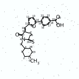 CC1CCC(CN2C(=O)/C(=C/c3ccc(-c4ccc(C(=O)O)cc4)o3)SC2=S)CC1